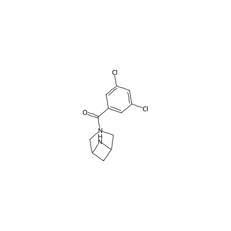 O=C(c1cc(Cl)cc(Cl)c1)N1CC2CC(C1)N2